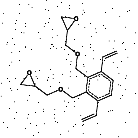 C=Cc1ccc(C=C)c(COCC2CO2)c1COCC1CO1